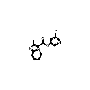 Cc1nc2ccccn2c1C(=O)Oc1cncc(Cl)c1